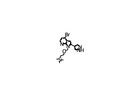 C[Si](C)(C)CCOCn1c(-c2cn[nH]c2)cc2c(Br)ccnc21